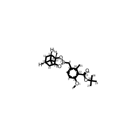 COc1ccc(CB2OC3C[C@@H]4C[C@@H](C4(C)C)[C@]3(C)O2)c(C)c1C(=O)OC(C)(C)C